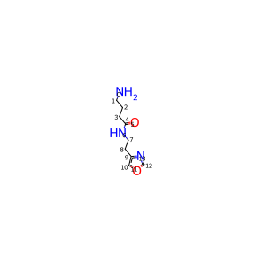 NCCCC(=O)NCCc1cocn1